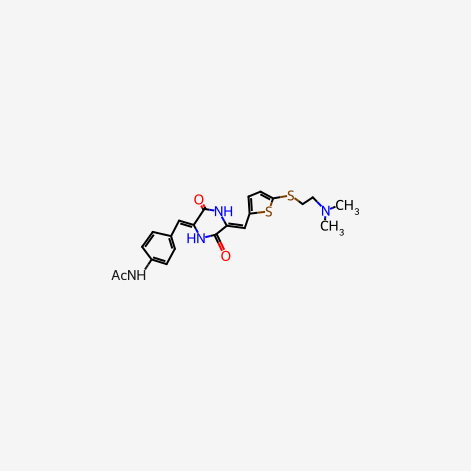 CC(=O)Nc1ccc(C=c2[nH]c(=O)c(=Cc3ccc(SCCN(C)C)s3)[nH]c2=O)cc1